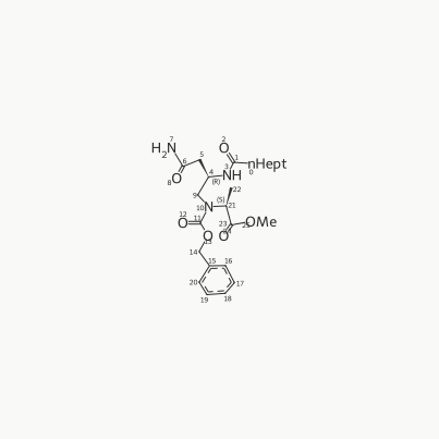 CCCCCCCC(=O)N[C@H](CC(N)=O)CN(C(=O)OCc1ccccc1)[C@@H](C)C(=O)OC